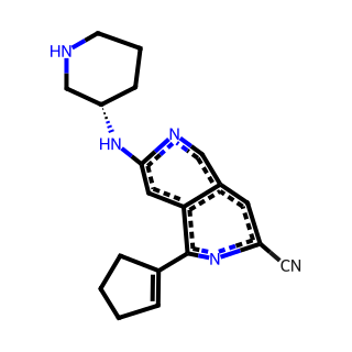 N#Cc1cc2cnc(N[C@H]3CCCNC3)cc2c(C2=CCCC2)n1